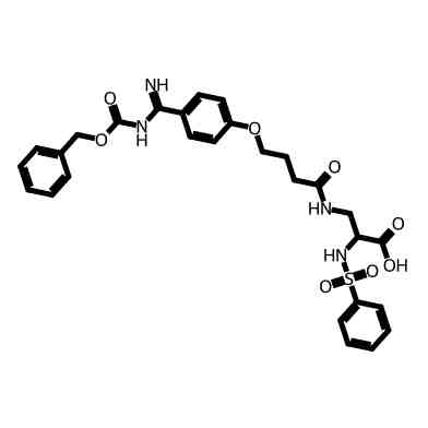 N=C(NC(=O)OCc1ccccc1)c1ccc(OCCCC(=O)NCC(NS(=O)(=O)c2ccccc2)C(=O)O)cc1